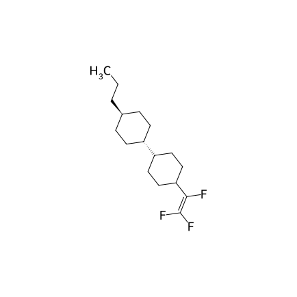 CCC[C@H]1CC[C@H](C2CCC(C(F)=C(F)F)CC2)CC1